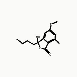 CCCCC1(O)OC(=O)c2c(I)cc(OC)cc21